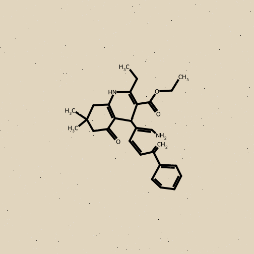 C=C(/C=C\C(=C/N)C1C2=C(CC(C)(C)CC2=O)NC(CC)=C1C(=O)OCC)c1ccccc1